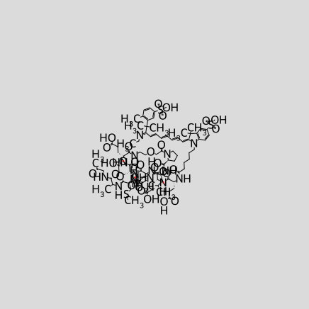 CC\N=C(/C=C/C=C/C=C/C=C1/N(CCCCCC(=O)N[C@H](CCC(=O)O)C(=O)N[C@H](CCC(=O)O)C(=O)N[C@H](CCC(=O)O)C(=O)N[C@H](CCC(=O)O)C(=O)N[C@H](CCC(=O)O)C(=O)NCCOCC(=O)N2CCC[C@H]2C(=O)N[C@@H](CC(C)C)C(=O)NCC(=O)N[C@@H](CSC)C(=O)N[C@@H](C)C(=O)NCC(C)=O)c2ccc(S(=O)(=O)O)cc2C1(C)C)C(C)(C)c1cc(S(=O)(=O)O)ccc1C